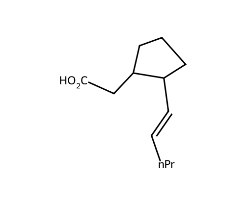 CCCC=CC1CCCC1CC(=O)O